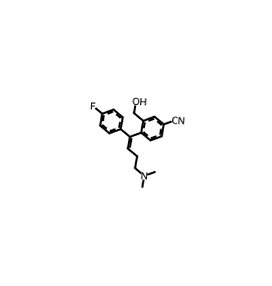 CN(C)CC/C=C(/c1ccc(F)cc1)c1ccc(C#N)cc1CO